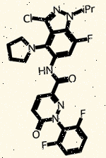 CC(C)n1nc(Cl)c2c(N3CCCC3)c(NC(=O)c3ccc(=O)n(-c4c(F)cccc4F)n3)cc(F)c21